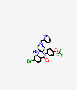 O=C1c2ccc(Br)cc2NC2(CCN(Cc3ccccn3)CC2)N1c1ccc(OC(F)(F)F)cc1